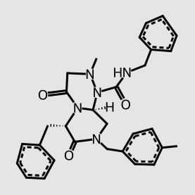 Cc1ccc(CN2C[C@H]3N(C(=O)CN(C)N3C(=O)NCc3ccccc3)[C@@H](Cc3ccccc3)C2=O)cc1